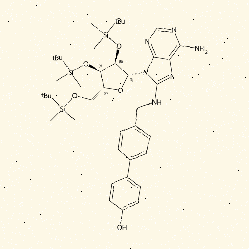 CC(C)(C)[Si](C)(C)OC[C@H]1O[C@@H](n2c(NCc3ccc(-c4ccc(O)cc4)cc3)nc3c(N)ncnc32)[C@H](O[Si](C)(C)C(C)(C)C)[C@@H]1O[Si](C)(C)C(C)(C)C